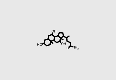 CC(CCC(N)=O)C1CCC2C3C(O)CC4CC(O)CCC4(C)C3CC(O)C12C